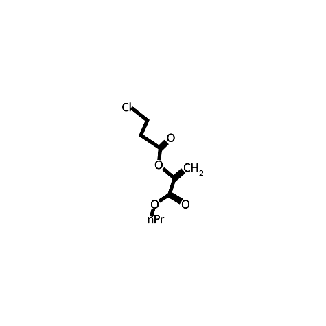 C=C(OC(=O)CCCl)C(=O)OCCC